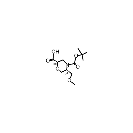 COC[C@H]1CO[C@@H](C(=O)O)CN1C(=O)OC(C)(C)C